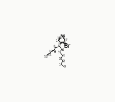 CCCCCCCC(CCCCC)c1ccncc1Br